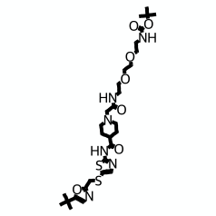 CC(C)(C)OC(=O)NCCOCCOCCNC(=O)CN1CCC(C(=O)Nc2ncc(SCc3ncc(C(C)(C)C)o3)s2)CC1